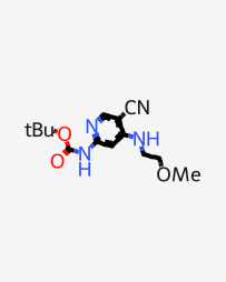 COCCNc1cc(NC(=O)OC(C)(C)C)ncc1C#N